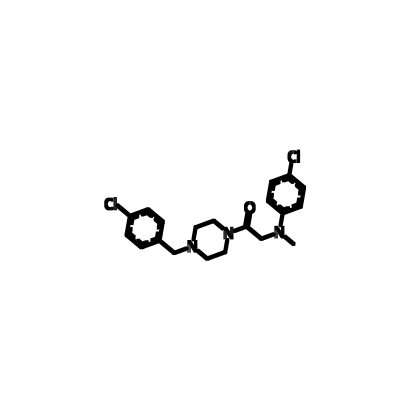 CN(CC(=O)N1CCN(Cc2ccc(Cl)cc2)CC1)c1ccc(Cl)cc1